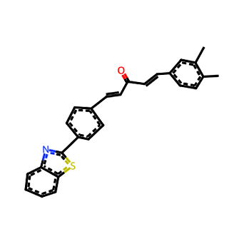 Cc1ccc(C=CC(=O)C=Cc2ccc(-c3nc4ccccc4s3)cc2)cc1C